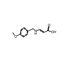 COc1ccc(CNC=CC(=O)O)cc1